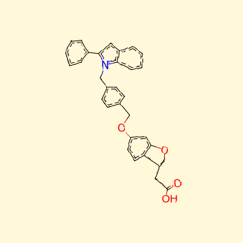 O=C(O)CC1COc2cc(OCc3ccc(Cn4c(-c5ccccc5)cc5ccccc54)cc3)ccc21